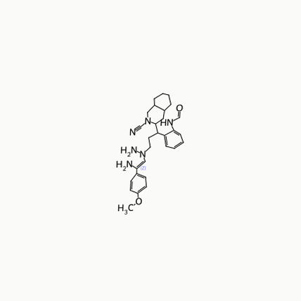 COc1ccc(/C(N)=C/N(N)CCC(c2ccccc2NC=O)C2CC3CCCCC3CN2C#N)cc1